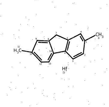 Cc1ccc2c(c1)[CH]c1cc(C)ccc1-2.[Hf]